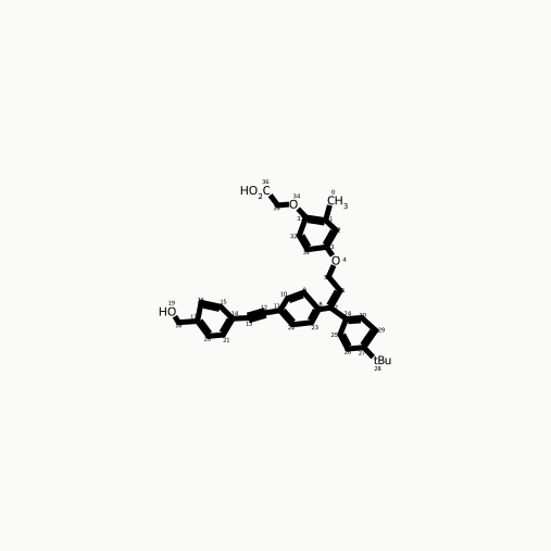 Cc1cc(OC/C=C(\c2ccc(C#Cc3ccc(CO)cc3)cc2)c2ccc(C(C)(C)C)cc2)ccc1OCC(=O)O